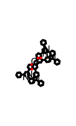 c1ccc(-c2cc(-c3ccccc3)nc(-c3cccc4c3c3cc(-c5ccc6oc7ccc(-c8ccc9c(c8)c8c(-c%10nc(-c%11ccccc%11)cc(-c%11ccccc%11)n%10)cccc8n9-c8ccccc8)cc7c6c5)ccc3n4-c3ccccc3)n2)cc1